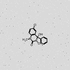 CN1C(=O)N(C)C(O)(c2ccccc2)c2cc(Cl)ccc21